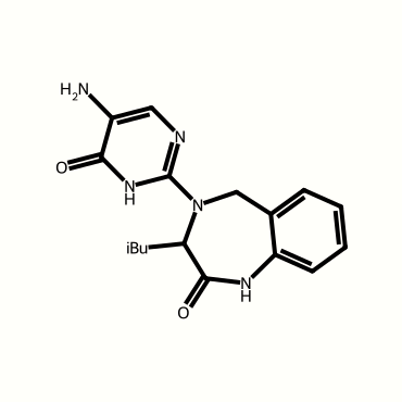 CCC(C)C1C(=O)Nc2ccccc2CN1c1ncc(N)c(=O)[nH]1